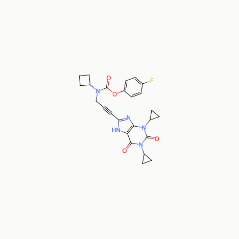 O=C(Oc1ccc(F)cc1)N(CC#Cc1nc2c([nH]1)c(=O)n(C1CC1)c(=O)n2C1CC1)C1CCC1